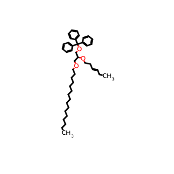 CC/C=C/CCOC(COCCCCCCCCCCCCCCCC)COC(c1ccccc1)(c1ccccc1)c1ccccc1